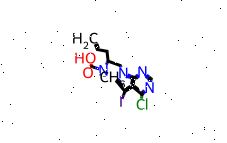 C=CCC(Cn1cc(I)c2c(Cl)ncnc21)N(C)C(=O)O